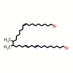 CC(CCC/C=C/C/C=C/CCCCCCCCBr)C(C)CCCCC/C=C\CCCCCCCCBr